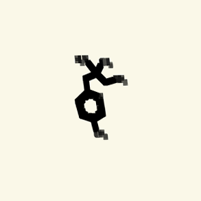 Cc1ccc(CC(C)(N)CN)nc1